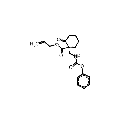 C=CCOC(=O)C1(CNC(=O)Oc2ccccc2)CCCCC1=O